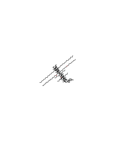 CCCCCCCCCCCCCCCCN(CCCCCCCCCCCCCCCC)C(=S)[S-].CCCCCCCCCCCCCCCCN(CCCCCCCCCCCCCCCC)C(=S)[S-].CCCCCN(CCCCC)C(=S)[S-].CCCCCN(CCCCC)C(=S)[S-].[Cd+2].[Cu+2]